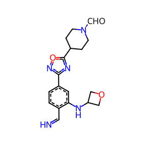 N=Cc1ccc(-c2noc(C3CCN(C=O)CC3)n2)cc1NC1COC1